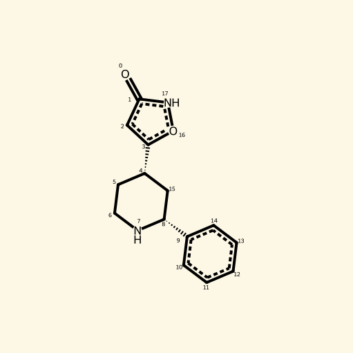 O=c1cc([C@H]2CCN[C@@H](c3ccccc3)C2)o[nH]1